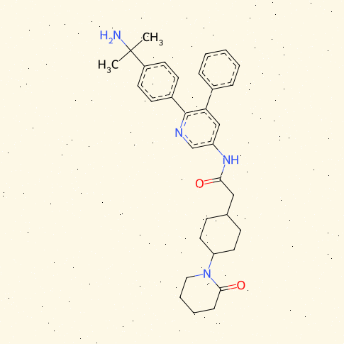 CC(C)(N)c1ccc(-c2ncc(NC(=O)CC3CCC(N4CCCCC4=O)CC3)cc2-c2ccccc2)cc1